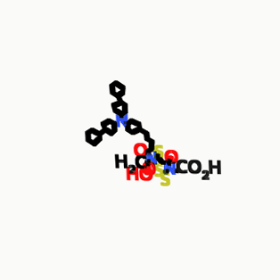 C=C(OO)n1c(=O)/c(=C\C=C\c2ccc(N(c3ccc(-c4ccccc4)cc3)c3ccc(-c4ccccc4)cc3)cc2)s/c1=C1/SC(=S)N(CC(=O)O)C1=O